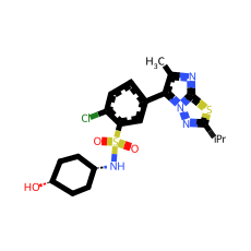 Cc1nc2sc(C(C)C)nn2c1-c1ccc(Cl)c(S(=O)(=O)N[C@H]2CC[C@@H](O)CC2)c1